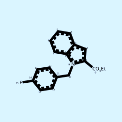 CCOC(=O)c1cc2ccccc2n1Cc1ccc(F)cc1